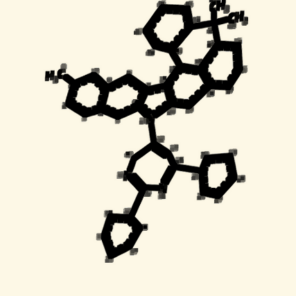 Cc1ccc2cc3c(cc2c1)c1c2c4c(cccc4cc1n3C1=CC(c3ccccc3)=NC(c3ccccc3)=NC1)C(C)(C)c1ccccc1-2